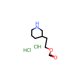 Cl.Cl.O=COCCC1CCCNC1